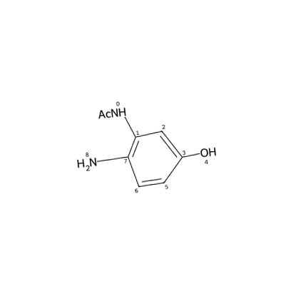 CC(=O)Nc1cc(O)ccc1N